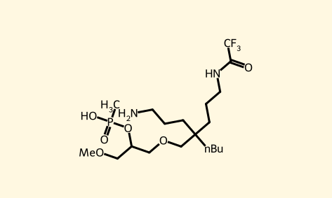 CCCCC(CCCN)(CCCNC(=O)C(F)(F)F)COCC(COC)OP(C)(=O)O